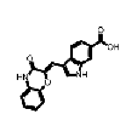 O=C1Nc2ccccc2O/C1=C\c1c[nH]c2cc(C(=O)O)ccc12